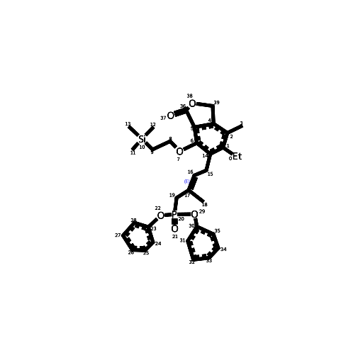 CCc1c(C)c2c(c(OCC[Si](C)(C)C)c1C/C=C(\C)CP(=O)(Oc1ccccc1)Oc1ccccc1)C(=O)OC2